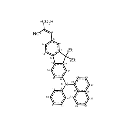 CCC1(CC)c2cc(/C=C(\C#N)C(=O)O)ccc2-c2ccc(N(c3ccccc3)c3cccc4ccccc34)cc21